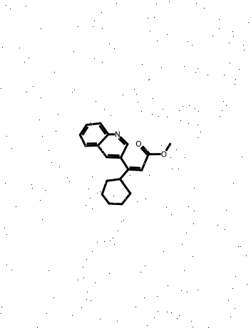 COC(=O)/C=C(\c1cnc2ccccc2c1)C1CCCCC1